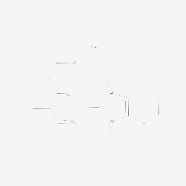 COC(=O)C(C)Nc1cc(N2C(=O)C3=C(CCCC3)C2=O)c(F)cc1Cl